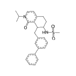 CC(C)n1ccc2c(c1=O)C(Cc1cccc(-c3ccccc3)c1)C(NS(C)(=O)=O)CC2